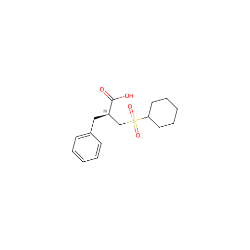 O=C(O)[C@H](Cc1ccccc1)CS(=O)(=O)C1CCCCC1